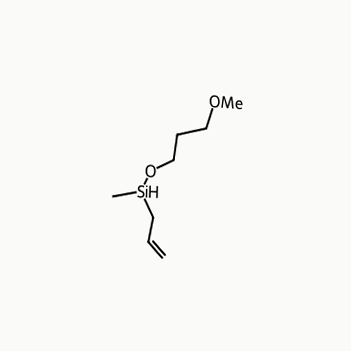 C=CC[SiH](C)OCCCOC